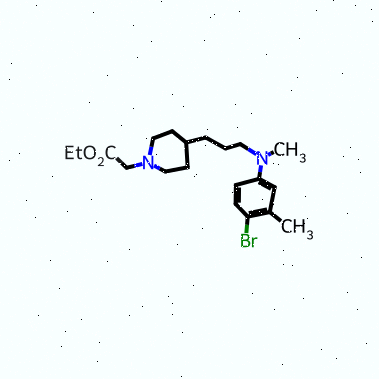 CCOC(=O)CN1CCC(CCCN(C)c2ccc(Br)c(C)c2)CC1